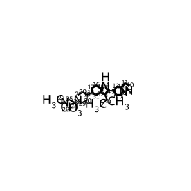 CC(C)c1c(-c2ccn3nccc3c2)[nH]c2ccc(C3CCN(C(=O)CN(C)C)CC3)cc12